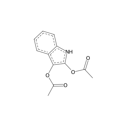 CC(=O)Oc1[nH]c2ccccc2c1OC(C)=O